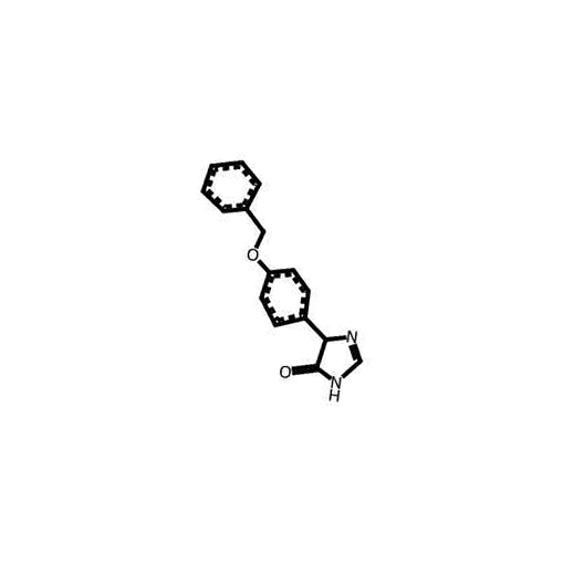 O=C1NC=NC1c1ccc(OCc2ccccc2)cc1